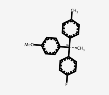 COc1ccc([C@@](C)(c2ccc(C)cc2)c2ccc(F)cc2)cc1